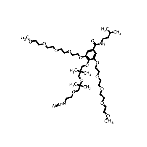 COCCOCCOCCOCCOc1cc(C(=O)NCCC(C)C)cc(OCCOCCOCCOCCOC)c1OCC(C)(C)COC(C)(C)COCCN=[N+]=[N-]